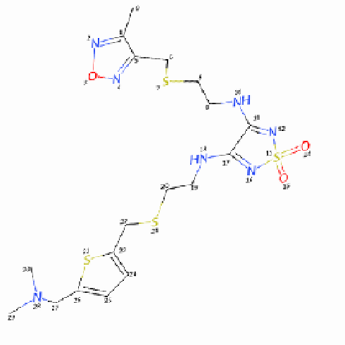 Cc1nonc1CSCCNC1=NS(=O)(=O)N=C1NCCSCc1ccc(CN(C)C)s1